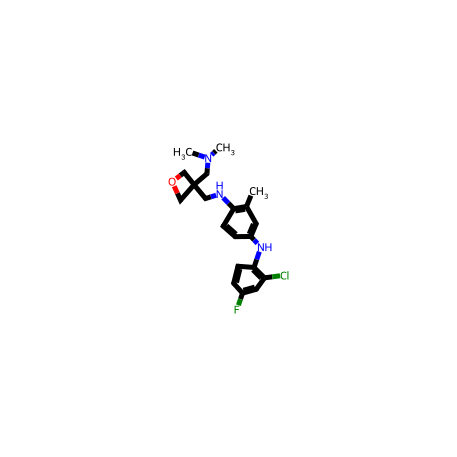 Cc1cc(Nc2ccc(F)cc2Cl)ccc1NCC1(CN(C)C)COC1